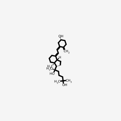 C=C1CC[C@@H](O)C/C1=C/C=C1\CCC[C@@]2(C)[C@H]1CC[C@@H]2[C@@](C)(O)CCCC(C)(C)O